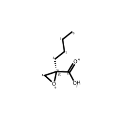 CCCC[C@@]1(C(=O)O)CO1